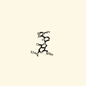 CCN(C)c1cc2c(c(CNC)n1)CN(c1cccc(-c3nncn3C(C)C)n1)C2=O